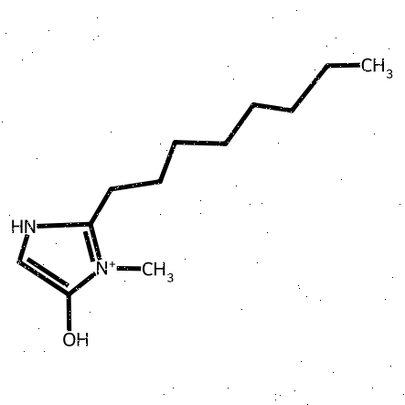 CCCCCCCCc1[nH]cc(O)[n+]1C